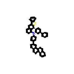 c1ccc(-c2cccc(N(c3ccc(-c4ccc5ccc6c7ccccc7ccc6c5c4)cc3)c3cccc4cc5c(cc34)sc3ccccc35)c2)cc1